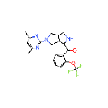 Cc1cc(C)nc(N2CC3CNC(C(=O)c4ccccc4OC(F)(F)F)C3C2)n1